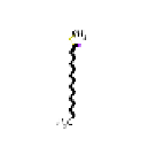 CCCCCCCCCCCC/C=C(\I)SC